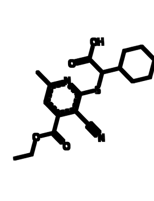 CCOC(=O)c1cc(C)nc(SC(C(=O)O)C2CCCCC2)c1C#N